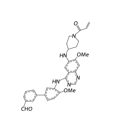 C=CC(=O)N1CCC(Nc2cc3c(Nc4cc(-c5cccc(C=O)c5)ccc4OC)ncnc3cc2OC)CC1